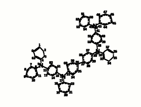 C1=CCCC(N(c2ccccc2)c2ccc(N(c3ccccc3)c3ccc(-c4ccc(N(C5=CCCC=C5)c5ccc(N(c6ccccc6)c6ccccc6)cc5)cc4)cc3)cc2)=C1